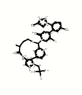 CC1CCCC(n2cc(F)c(-c3cc(Cl)ccc3-n3cc(Cl)nn3)cc2=O)c2cc(ccn2)-c2c(cnn2CC(F)(F)F)NC1=O